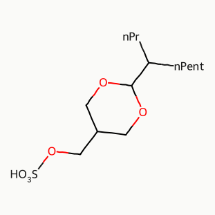 CCCCCC(CCC)C1OCC(COS(=O)(=O)O)CO1